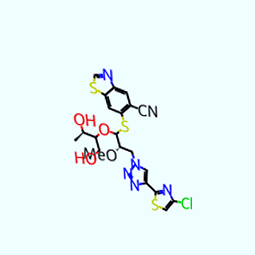 CO[C@@H](Cn1cc(-c2nc(Cl)cs2)nn1)C(OC(CO)[C@@H](C)O)Sc1cc2scnc2cc1C#N